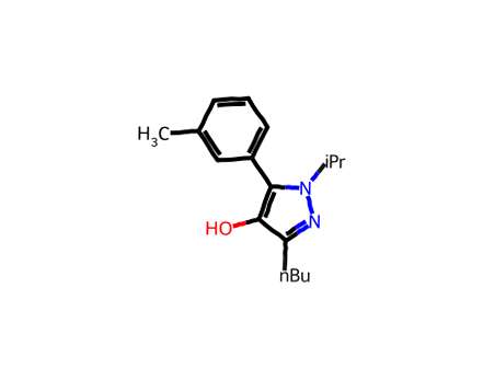 CCCCc1nn(C(C)C)c(-c2cccc(C)c2)c1O